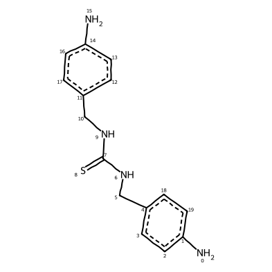 Nc1ccc(CNC(=S)NCc2ccc(N)cc2)cc1